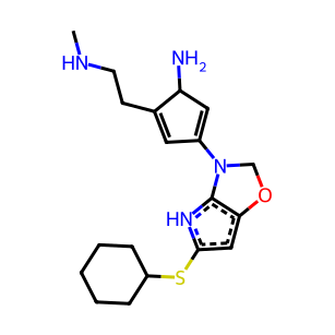 CNCCC1=CC(N2COc3cc(SC4CCCCC4)[nH]c32)=CC1N